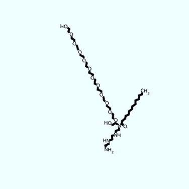 CCCCCCCCCCCCCC(=O)N(CCNCCNCCN)C(CO)OCCOCCOCCOCCOCCOCCOCCOCCOCCOCCOCCO